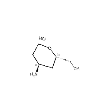 Cl.N[C@H]1CCO[C@H](CO)C1